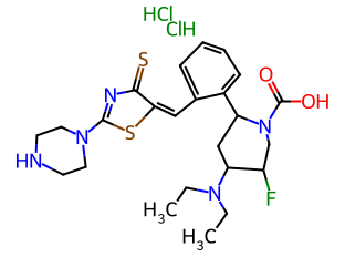 CCN(CC)C1CC(c2ccccc2C=C2SC(N3CCNCC3)=NC2=S)N(C(=O)O)CC1F.Cl.Cl